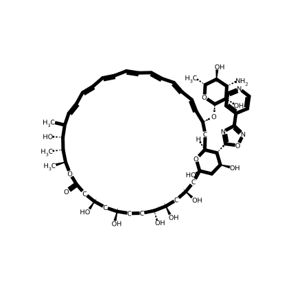 CC1/C=C/C=C/C=C/C=C/C=C/C=C/C=C/[C@H](O[C@@H]2O[C@H](C)[C@@H](O)[C@H](N)[C@@H]2O)C[C@@H]2O[C@](O)(C[C@@H](O)C[C@@H](O)[C@H](O)CC[C@@H](O)C[C@@H](O)CC(=O)O[C@@H](C)[C@H](C)[C@@H]1O)C[C@H](O)[C@H]2c1nc(-c2ccncc2)no1